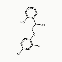 Oc1ccccc1C(O)COc1ccc(Cl)cc1Cl